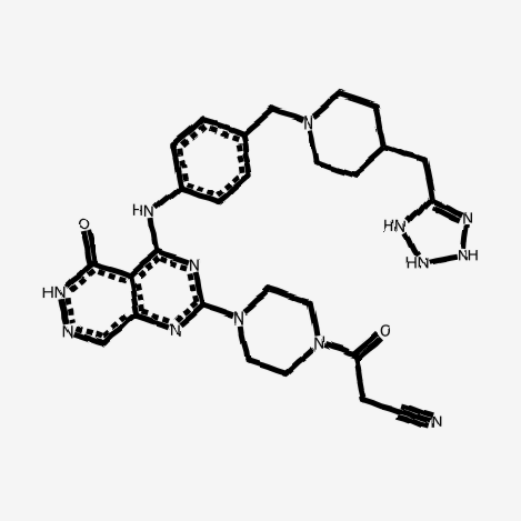 N#CCC(=O)N1CCN(c2nc(Nc3ccc(CN4CCC(CC5=NNNN5)CC4)cc3)c3c(=O)[nH]ncc3n2)CC1